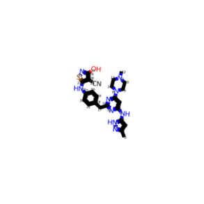 Cc1cc(Nc2cc(N3CCN(C)CC3)nc(Cc3ccc(Nc4snc(O)c4C#N)cc3)n2)[nH]n1